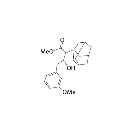 COC(=O)C(C(O)Cc1cccc(OC)c1)C12CC3CC(CC(C3)C1)C2